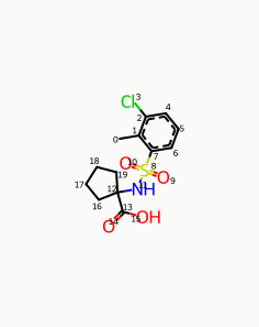 Cc1c(Cl)cccc1S(=O)(=O)NC1(C(=O)O)CCCC1